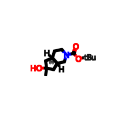 CC1(O)C[C@H]2CN(C(=O)OC(C)(C)C)CC[C@H]2C1